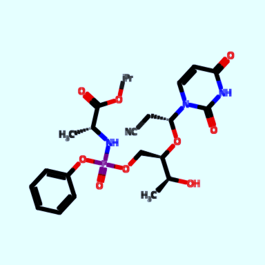 CC(C)OC(=O)[C@@H](C)NP(=O)(OC[C@@H](O[C@H](CC#N)n1ccc(=O)[nH]c1=O)[C@H](C)O)Oc1ccccc1